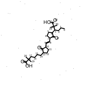 CCCC(C1CCC(C=CC2CCC(CCCCC(C)(C)C(=O)O)C2=O)C1=O)C(C)(C)C(=O)O